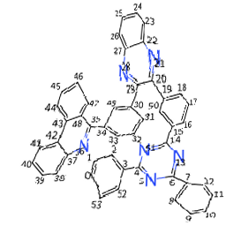 c1ccc(-c2nc(-c3ccccc3)nc(-c3cccc(-c4nc5ccccc5nc4-c4cccc(-c5nc6ccccc6c6ccccc56)c4)c3)n2)cc1